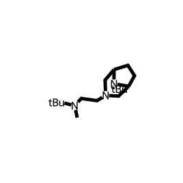 CN(CCN1CC2CCC(C1)N2C(C)(C)C)C(C)(C)C